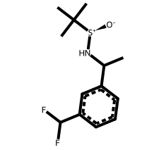 CC(N[S@+]([O-])C(C)(C)C)c1cccc(C(F)F)c1